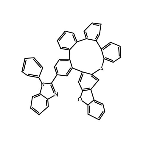 c1ccc(-n2c(-c3ccc4c(c3)-c3cc5oc6ccccc6c5cc3Sc3ccccc3-c3ccccc3-c3ccccc3-4)nc3ccccc32)cc1